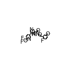 COc1ccc(F)c(CONC(=O)c2cncc(-c3ccc(OC(F)F)nc3)n2)c1